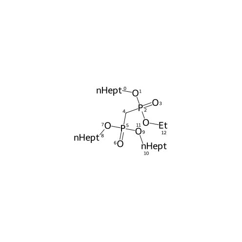 CCCCCCCOP(=O)(CP(=O)(OCCCCCCC)OCCCCCCC)OCC